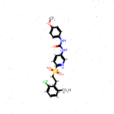 O=C(Nc1ccc(OC(F)(F)F)cc1)Nc1ccc(S(=O)(=O)CCc2c(Cl)cccc2C(=O)O)nc1